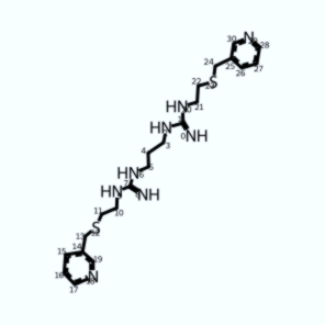 N=C(NCCCNC(=N)NCCSCc1cccnc1)NCCSCc1cccnc1